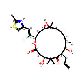 C=CC[C@H]1C(=O)C(C)(C)[C@@H](O)CC(=O)O[C@H](C(F)=Cc2csc(C)n2)CC2OC2(C)CCC[C@H](C)[C@H]1O